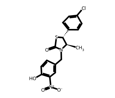 C[C@@H]1[C@@H](c2ccc(Cl)cc2)SC(=O)N1Cc1ccc(O)c([N+](=O)[O-])c1